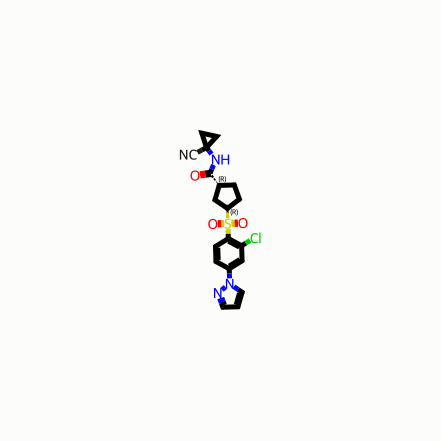 N#CC1(NC(=O)[C@@H]2CC[C@@H](S(=O)(=O)c3ccc(-n4cccn4)cc3Cl)C2)CC1